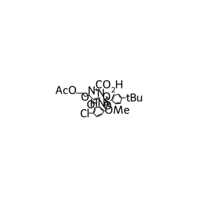 COc1ccc(Cl)c(Oc2c(NS(=O)(=O)c3ccc(C(C)(C)C)cc3)nc(C(=O)O)nc2OCCOC(C)=O)c1